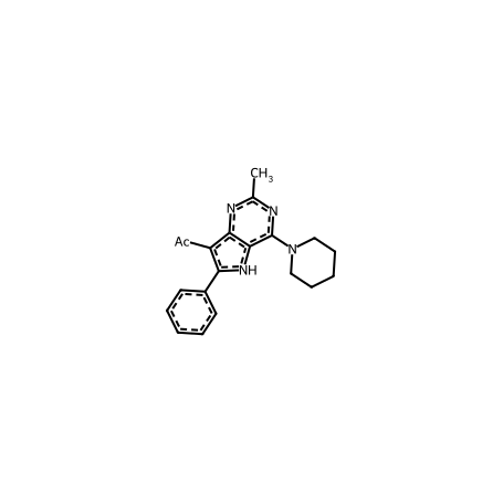 CC(=O)c1c(-c2ccccc2)[nH]c2c(N3CCCCC3)nc(C)nc12